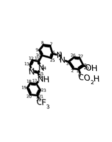 O=C(O)c1cc(N=Nc2cccc(-c3ccnc(Nc4cccc(C(F)(F)F)c4)n3)c2)ccc1O